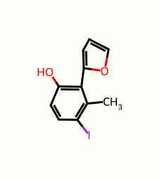 Cc1c(I)ccc(O)c1-c1ccco1